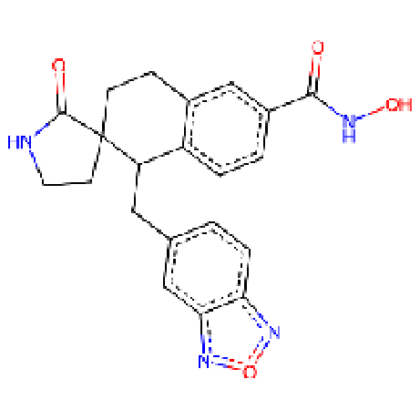 O=C(NO)c1ccc2c(c1)CCC1(CCNC1=O)C2Cc1ccc2nonc2c1